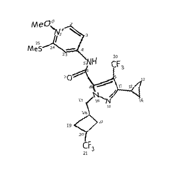 CO[n+]1ccc(NC(=O)c2c(C(F)(F)F)c(C3CC3)nn2CC2CC(C(F)(F)F)C2)cc1SC